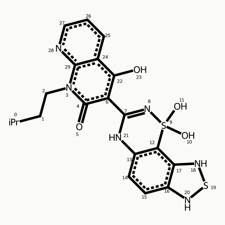 CC(C)CCn1c(=O)c(C2=NS(O)(O)c3c(ccc4c3NSN4)N2)c(O)c2cccnc21